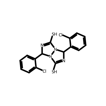 SC1=NC(c2ccccc2Cl)N2C(S)=NC(c3ccccc3Cl)N12